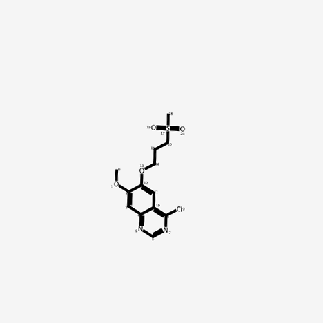 COc1cc2ncnc(Cl)c2cc1OCCCS(C)(=O)=O